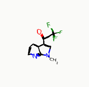 Cn1cc(C(=O)C(F)(F)F)c2cccnc21